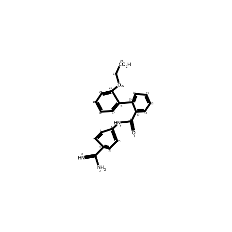 N=C(N)c1ccc(NC(=O)c2ccccc2-c2ccccc2OCC(=O)O)cc1